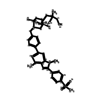 Cc1nc(-c2ccc(CN3C[C@H]4CC[C@@H]3CN4CC(C)(C)CO)cc2)cc2c1cc(-c1ccc(S(C)(=O)=O)cc1)n2C